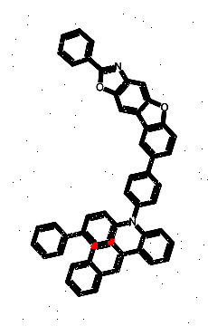 c1ccc(-c2ccc(N(c3ccc(-c4ccc5oc6cc7nc(-c8ccccc8)oc7cc6c5c4)cc3)c3ccccc3-c3ccc4ccccc4c3)cc2)cc1